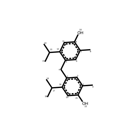 Cc1cc(Cc2cc(C)c(O)cc2C(C)C)c(C(C)C)cc1O